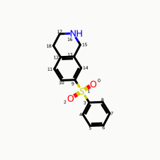 O=S(=O)(c1ccccc1)c1ccc2c(c1)CNCC2